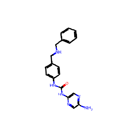 Nc1cnc(NC(=O)Nc2ccc(CNCc3ccccc3)cc2)cn1